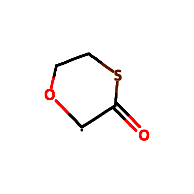 O=C1[CH]OCCS1